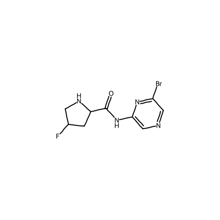 O=C(Nc1cncc(Br)n1)C1CC(F)CN1